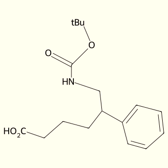 CC(C)(C)OC(=O)NCC(CCCC(=O)O)c1ccccc1